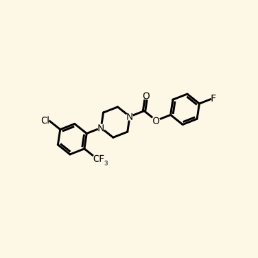 O=C(Oc1ccc(F)cc1)N1CCN(c2cc(Cl)ccc2C(F)(F)F)CC1